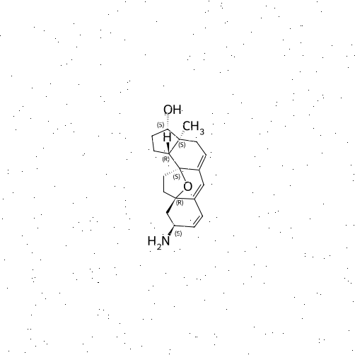 C[C@]12CC=C3C=C4C=C[C@@H](N)C[C@]45CC[C@]3(O5)[C@@H]1CC[C@@H]2O